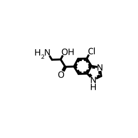 NCC(O)C(=O)c1cc(Cl)c2nc[nH]c2c1